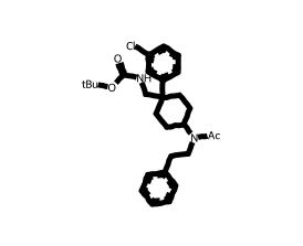 CC(=O)N(CCc1ccccc1)C1CCC(CNC(=O)OC(C)(C)C)(c2cccc(Cl)c2)CC1